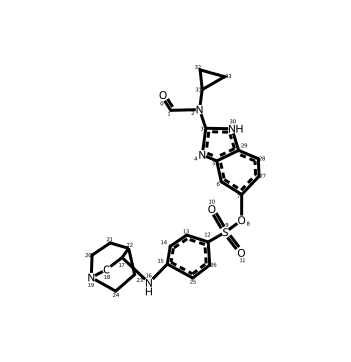 O=CN(c1nc2cc(OS(=O)(=O)c3ccc(NC4CN5CCC4CC5)cc3)ccc2[nH]1)C1CC1